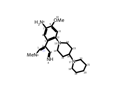 CN/C=C(\C=N)c1cc(N)c(OC)cc1N1CCC(N2CCCCC2)CC1